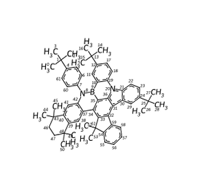 CC(C)(C)c1ccc(N2B3c4cc(C(C)(C)C)ccc4-n4c5ccc(C(C)(C)C)cc5c5c6c(c(c3c54)-c3cc4c(cc32)C(C)(C)CCC4(C)C)C(C)(C)c2ccccc2-6)cc1